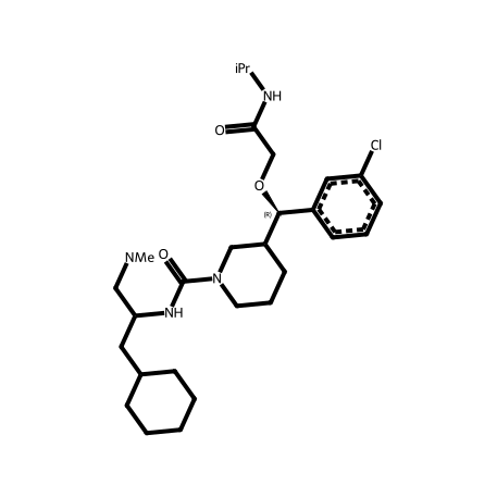 CNCC(CC1CCCCC1)NC(=O)N1CCCC([C@@H](OCC(=O)NC(C)C)c2cccc(Cl)c2)C1